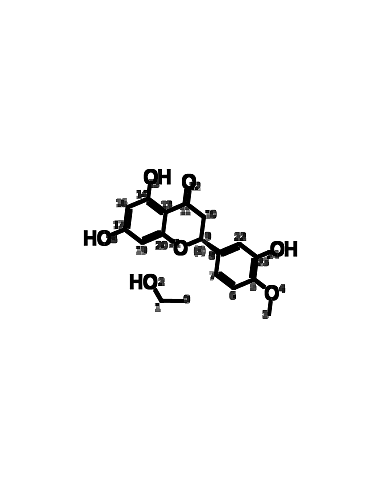 CCO.COc1ccc([C@@H]2CC(=O)c3c(O)cc(O)cc3O2)cc1O